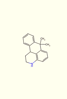 CC1(C)c2ccccc2C2CCNc3cccc1c32